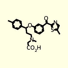 Cc1ccc(C(CCN(C)CC(=O)O)Oc2cccc(C(=O)c3ncc(C)s3)c2)cc1